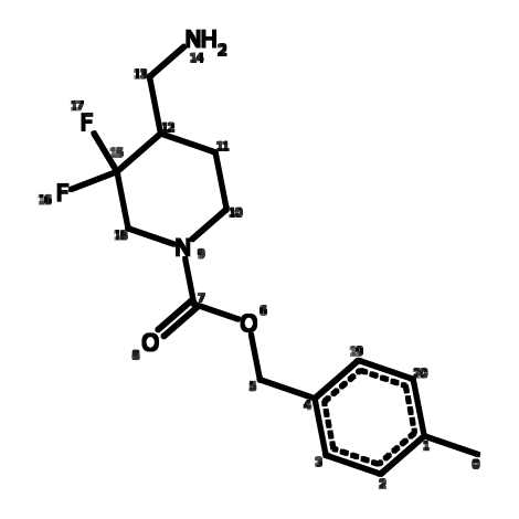 Cc1ccc(COC(=O)N2CCC(CN)C(F)(F)C2)cc1